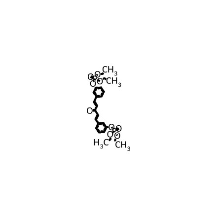 CCOP(=O)(OCC)Oc1cccc(/C=C/C(=O)/C=C/c2cccc(OP(=O)(OCC)OCC)c2)c1